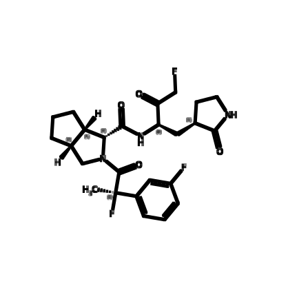 C[C@](F)(C(=O)N1C[C@@H]2CCC[C@@H]2[C@@H]1C(=O)N[C@H](C[C@H]1CCNC1=O)C(=O)CF)c1cccc(F)c1